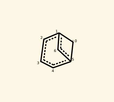 [CH]1c2cccc1c2